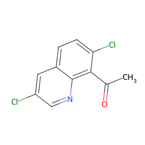 CC(=O)c1c(Cl)ccc2cc(Cl)cnc12